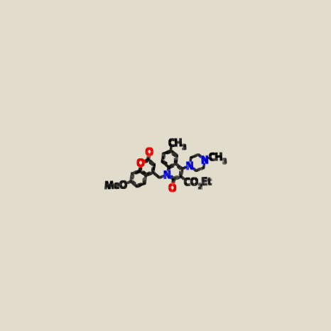 CCOC(=O)c1c(N2CCN(C)CC2)c2cc(C)ccc2n(Cc2cc(=O)oc3cc(OC)ccc23)c1=O